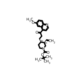 C=C[C@H]1CN(C(=O)OC(C)(C)C)CC[C@H]1CCC(=O)c1ccnc2ccc(OC)cc12